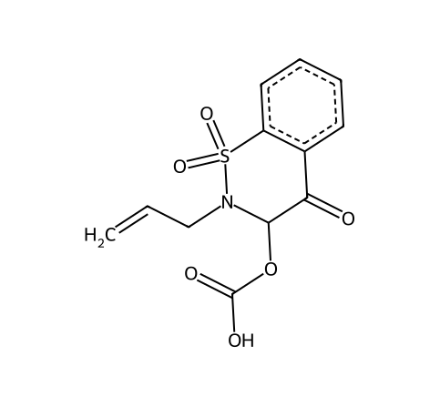 C=CCN1C(OC(=O)O)C(=O)c2ccccc2S1(=O)=O